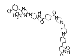 CC1(NC(=O)C2CCC(C(=O)N3CCN(CC4CCN(c5ccc([C@@H]6CCC(=O)NC6=O)cc5)CC4)CC3)CC2)CCN(c2cnc(-c3cccc(Cl)c3Cl)c(N)n2)CC1